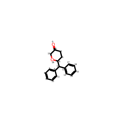 O=C1CCC(C(c2ccccc2)c2ccccc2)OC1